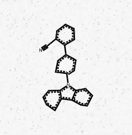 N#Cc1ccccc1-c1ccc(-n2c3ccccc3c3ccccc32)cc1